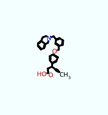 CC#CC(CC(=O)O)c1ccc(OCc2cccc(CN3CCc4ccccc4C3)c2)cc1